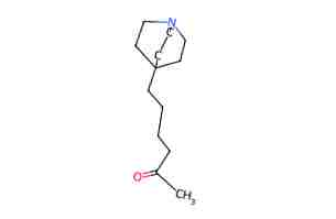 CC(=O)CCCCC12CCN(CC1)CC2